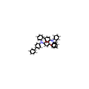 c1ccc(-c2ccc(N(c3ccc(-c4ccccc4)cc3)c3ccccc3-c3ccc(-n4c5ccccc5c5ccccc54)cc3)cc2)cc1